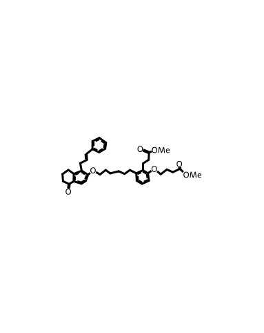 COC(=O)CCCOc1cccc(CCCCCCOc2ccc3c(c2CC=Cc2ccccc2)CCCC3=O)c1CCC(=O)OC